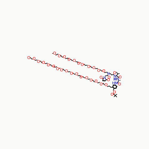 COCCOCCOCCOCCOCCOCCOCOCCOCCOCCOCCOCCOCCOCCOCCOCCOCCCc1cc(NC(=O)[C@H](C)NC(=O)[C@@H](NC(=O)CCN(CCOCCOCCOCCOCCCOCOCCOCCOCCOCCOCCOC)C(=O)CN2C(=O)C=CC2=O)C(C)C)ccc1COC(=O)C(C)(C)C